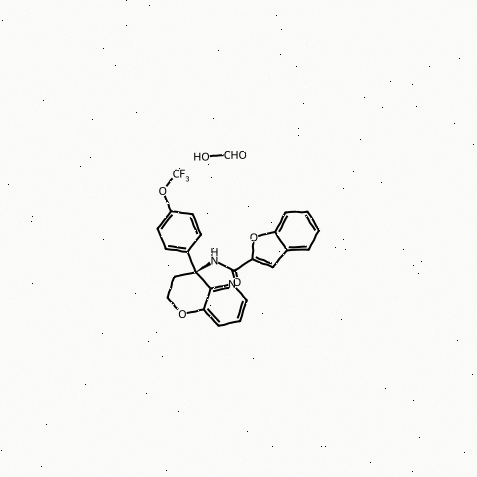 O=C(N[C@]1(c2ccc(OC(F)(F)F)cc2)CCOc2cccnc21)c1cc2ccccc2o1.O=CO